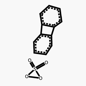 O=S1(=O)OO1.c1ccc2c(c1)-c1ccccc1-2